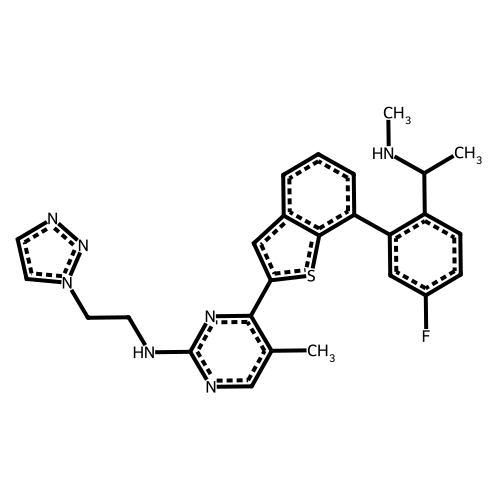 CNC(C)c1ccc(F)cc1-c1cccc2cc(-c3nc(NCCn4ccnn4)ncc3C)sc12